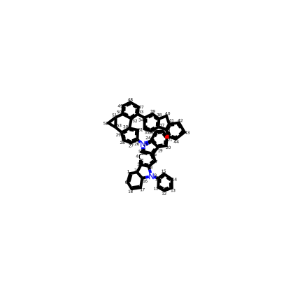 C1=CC2c3cc4c(cc3N(c3ccccc3)C2C=C1)c1ccccc1n4-c1ccc2c(c1)-c1c(-c3ccc4c(c3)Cc3ccccc3-4)cccc1C1CC21